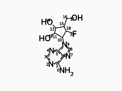 Nc1ncnc2c1ncn2C1C(O)C(O)C(CO)C1F